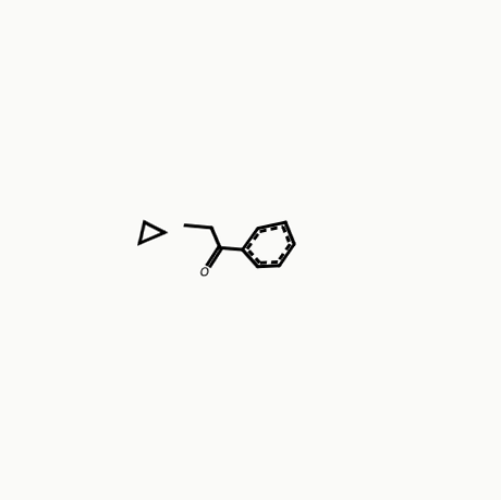 C1CC1.CCC(=O)c1ccccc1